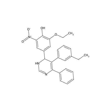 CCOc1cc(C2NC=NC(c3ccccc3)=C2c2cccc(CC)c2)cc([N+](=O)[O-])c1O